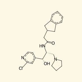 O=C(CC1Cc2ccccc2C1)N[C@H](CN1CCCC1)[C@H](O)c1ccnc(Cl)c1